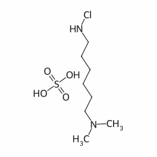 CN(C)CCCCCCNCl.O=S(=O)(O)O